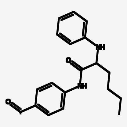 CCCCC(Nc1ccccc1)C(=O)Nc1ccc([C]=O)cc1